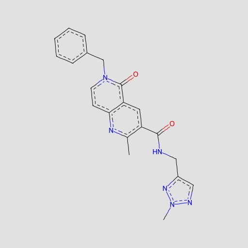 Cc1nc2ccn(Cc3ccccc3)c(=O)c2cc1C(=O)NCc1cnn(C)n1